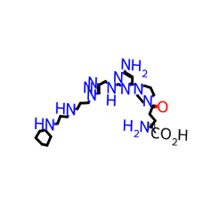 Nc1cc(N2CCCN(C(=O)CC[C@H](N)C(=O)O)CC2)nc(NCc2cn(CCCNCCCNC3CCCCC3)nn2)n1